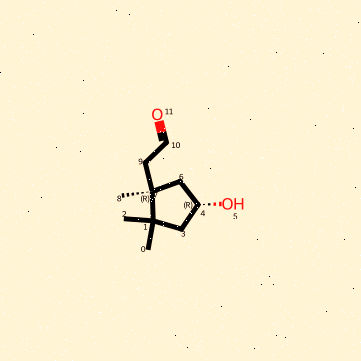 CC1(C)C[C@@H](O)C[C@]1(C)CC=O